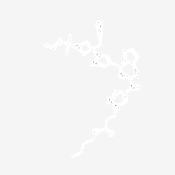 CCCCOC(=O)CCn1cc(Nc2nc(-c3cnn(C4(CC#N)CN(C(C)(C)SCC)C4)c3)c3sccc3n2)cn1